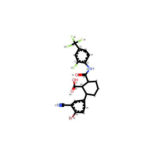 N#Cc1cc(C2CCCC(C(=O)Nc3ccc(C(F)(F)F)cc3F)C2C(=O)O)ccc1Br